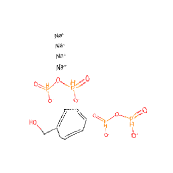 O=[PH]([O-])O[PH](=O)[O-].O=[PH]([O-])O[PH](=O)[O-].OCc1ccccc1.[Na+].[Na+].[Na+].[Na+]